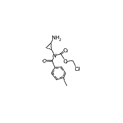 Cc1ccc(C(=O)N(C(=O)OCCl)C2CC2N)cc1